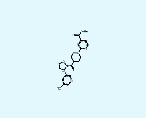 COC(=O)c1ccnc(N2CCC(C(=O)N3OCC[C@H]3c3cncc(C#N)c3)CC2)n1